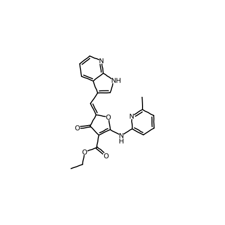 CCOC(=O)C1=C(Nc2cccc(C)n2)OC(=Cc2c[nH]c3ncccc23)C1=O